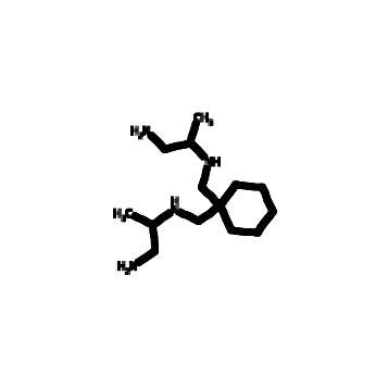 CC(CN)NCC1(CNC(C)CN)CCCCC1